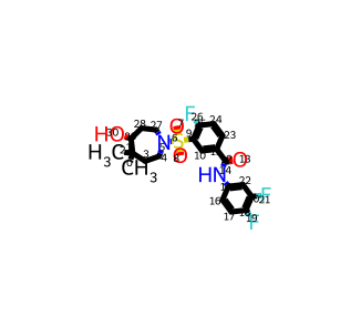 CC1(C)CCN(S(=O)(=O)c2cc(C(=O)Nc3ccc(F)c(F)c3)ccc2F)CCC1O